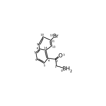 BCC(=O)c1cccc2ccc(Br)cc12